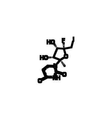 C[C@@]1(n2ccc(=O)[nH]c2=O)O[C@](F)(CI)[C@@H](O)[C@H]1O